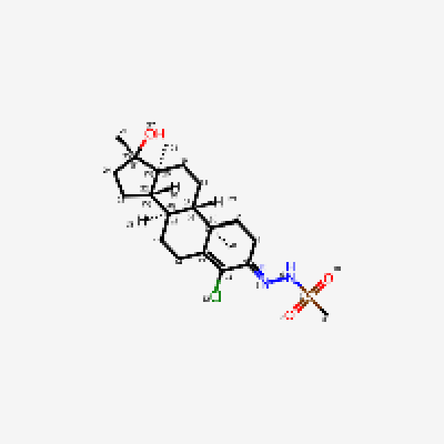 C[C@]12CC/C(=N\NS(C)(=O)=O)C(Cl)=C1CC[C@@H]1[C@@H]2CC[C@@]2(C)[C@H]1CC[C@]2(C)O